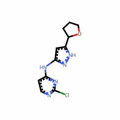 Clc1nccc(Nc2cc(C3CCCO3)[nH]n2)n1